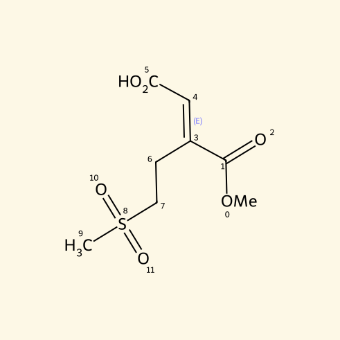 COC(=O)/C(=C/C(=O)O)CCS(C)(=O)=O